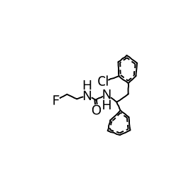 O=C(NCCF)NC(Cc1ccccc1Cl)c1ccccc1